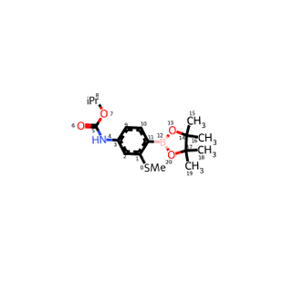 CSc1cc(NC(=O)OC(C)C)ccc1B1OC(C)(C)C(C)(C)O1